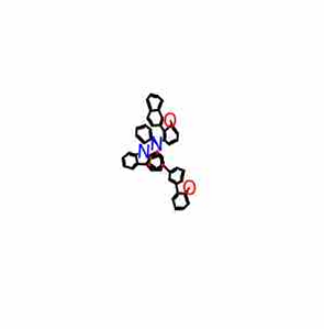 c1cc(-c2ccc3oc4ccccc4c3c2)cc(N(c2ccccc2-n2c3ccccc3c3ccccc32)c2cccc3oc4c5ccccc5ccc4c23)c1